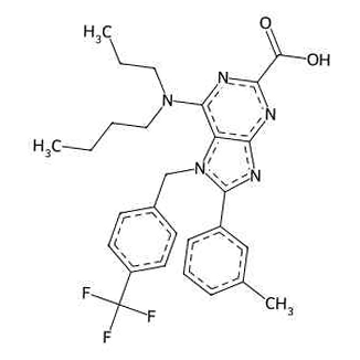 CCCCN(CCC)c1nc(C(=O)O)nc2nc(-c3cccc(C)c3)n(Cc3ccc(C(F)(F)F)cc3)c12